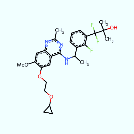 COc1cc2nc(C)nc(NC(C)c3cccc(C(F)(F)C(C)(C)O)c3F)c2cc1OCCOC1CC1